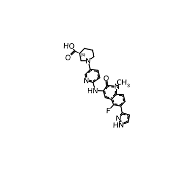 Cn1c(=O)c(Nc2ccc(N3CCC[C@H](C(=O)O)C3)cn2)cc2c(F)c(-c3cc[nH]n3)ccc21